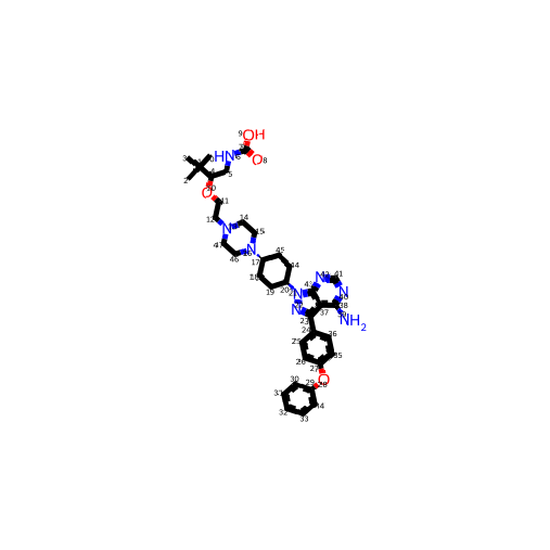 CC(C)(C)C(CNC(=O)O)OCCN1CCN([C@H]2CC[C@H](n3nc(-c4ccc(Oc5ccccc5)cc4)c4c(N)ncnc43)CC2)CC1